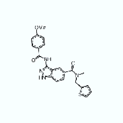 COc1ccc(C(=O)Nc2n[nH]c3ccc(C(=O)N(C)Cc4cccs4)cc23)cc1